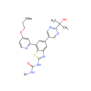 CCNC(=O)Nc1nc2cc(-c3cnc(C(C)(C)O)nc3)cc(-c3cc(OCCOC)ccn3)c2s1